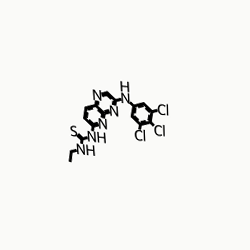 CCNC(=S)Nc1ccc2ncc(Nc3cc(Cl)c(Cl)c(Cl)c3)nc2n1